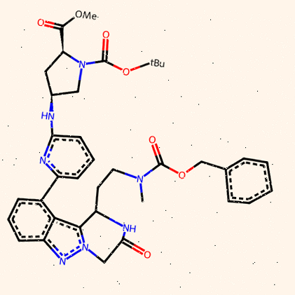 COC(=O)[C@@H]1C[C@H](Nc2cccc(-c3cccc4nn5c(c34)C(CCN(C)C(=O)OCc3ccccc3)NC(=O)C5)n2)CN1C(=O)OC(C)(C)C